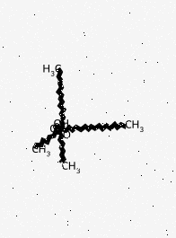 CCCCCCCCCCCCCCCCCC(=O)C(CCCCCCCCCCCCCCCC)(C(=O)O)C(CCCCCCCC)CCCCCCCCC